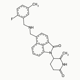 C=C1NC(=O)CCC1N1C(=O)c2ccc(CNCc3cc(C)ccc3F)c3cccc1c23